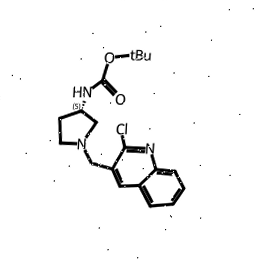 CC(C)(C)OC(=O)N[C@H]1CCN(Cc2cc3ccccc3nc2Cl)C1